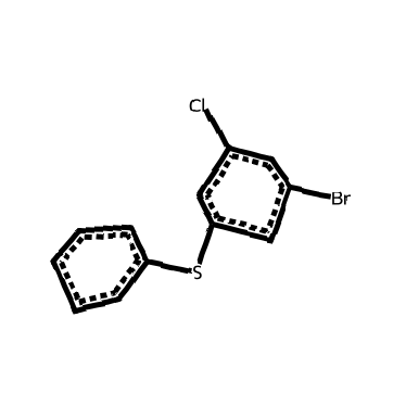 Clc1cc(Br)cc(Sc2ccccc2)c1